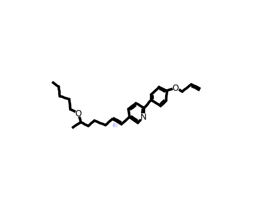 C=CCOc1ccc(-c2ccc(/C=C/CCCC(C)OCCCCC)cn2)cc1